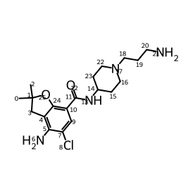 CC1(C)Cc2c(N)c(Cl)cc(C(=O)NC3CCN(CCCN)CC3)c2O1